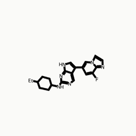 CCC1CCC(Nc2ncc3c(-c4cc(F)c5nccn5c4)c[nH]c3n2)CC1